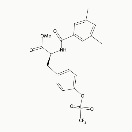 COC(=O)[C@H](Cc1ccc(OS(=O)(=O)C(F)(F)F)cc1)NC(=O)c1cc(C)cc(C)c1